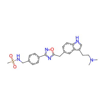 CN(C)CCc1c[nH]c2ccc(Cc3nc(-c4ccc(CNS(C)(=O)=O)cc4)no3)cc12